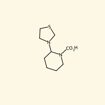 O=C(O)N1CCCCC1N1CCSC1